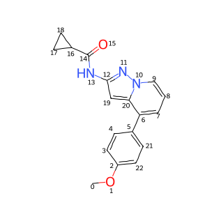 COc1ccc(-c2cccn3nc(NC(=O)C4CC4)cc23)cc1